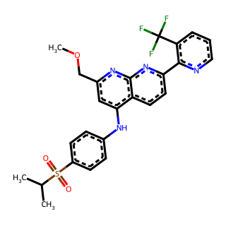 COCc1cc(Nc2ccc(S(=O)(=O)C(C)C)cc2)c2ccc(-c3ncccc3C(F)(F)F)nc2n1